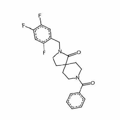 O=C(c1ccccc1)N1CCC2(CC1)CCN(Cc1cc(F)c(F)cc1F)C2=O